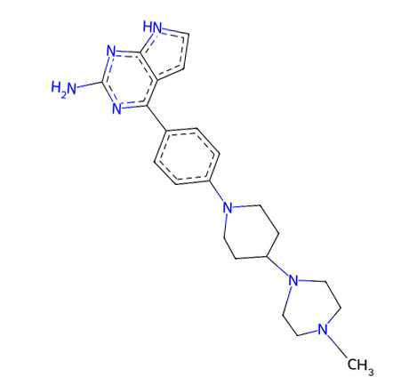 CN1CCN(C2CCN(c3ccc(-c4nc(N)nc5[nH]ccc45)cc3)CC2)CC1